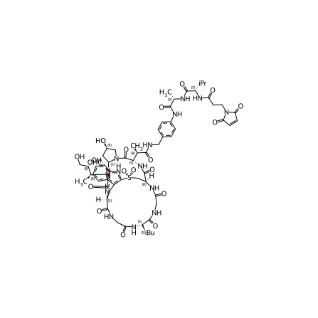 CC[C@H](C)[C@@H]1NC(=O)CNC(=O)[C@@H]2Cc3c([nH]c4ccccc34)S(=O)(=O)C[C@H](NC(=O)CNC1=O)C(=O)N[C@@H]([C@@H](C)C(=O)NCc1ccc(NC(=O)[C@H](C)NC(=O)[C@@H](NC(=O)CCN3C(=O)C=CC3=O)C(C)C)cc1)C(=O)N1C[C@H](O)C[C@]1(C=O)N[C@@H]([C@@H](C)[C@@H](O)CO)C(=O)N2